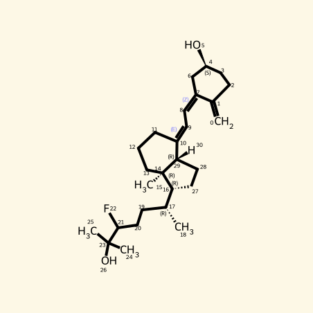 C=C1CC[C@H](O)C/C1=C/C=C1\CCC[C@]2(C)[C@@H]([C@H](C)CCC(F)C(C)(C)O)CC[C@@H]12